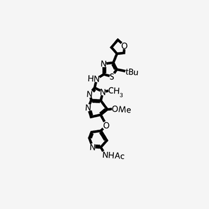 COc1c(Oc2ccnc(NC(C)=O)c2)cnc2nc(Nc3nc(C4CCOC4)c(C(C)(C)C)s3)n(C)c12